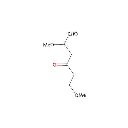 COCCC(=O)CC(C=O)OC